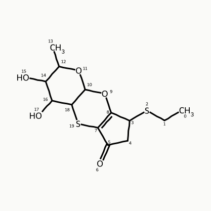 CCSC1CC(=O)C2=C1OC1OC(C)C(O)C(O)C1S2